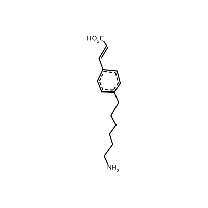 NCCCCCCc1ccc(C=CC(=O)O)cc1